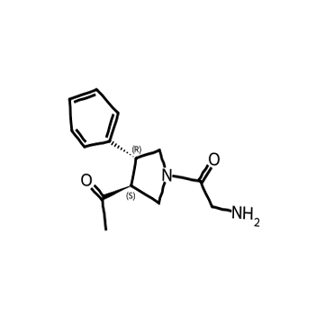 CC(=O)[C@@H]1CN(C(=O)CN)C[C@H]1c1ccccc1